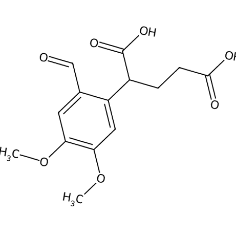 COc1cc(C=O)c(C(CCC(=O)O)C(=O)O)cc1OC